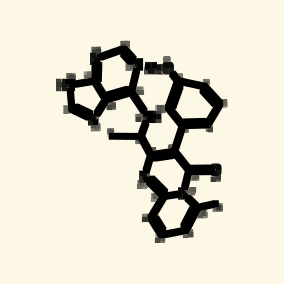 COc1cccc(-c2c(C(C)Nc3ncnc4[nH]cnc34)nc3cccc(C)n3c2=O)c1